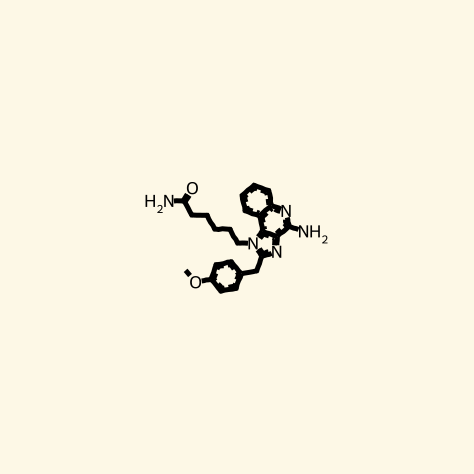 COc1ccc(Cc2nc3c(N)nc4ccccc4c3n2CCCCCC(N)=O)cc1